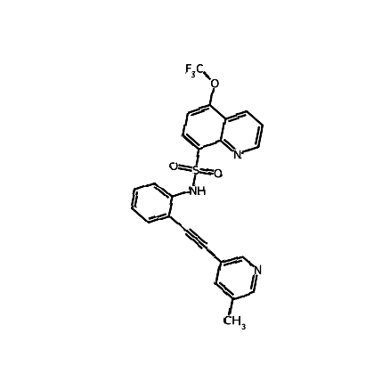 Cc1cncc(C#Cc2ccccc2NS(=O)(=O)c2ccc(OC(F)(F)F)c3cccnc23)c1